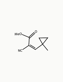 COC(=O)C(C#N)=CC1(C)CC1